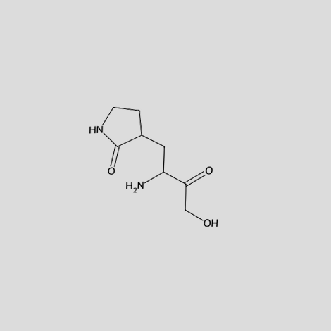 NC(CC1CCNC1=O)C(=O)CO